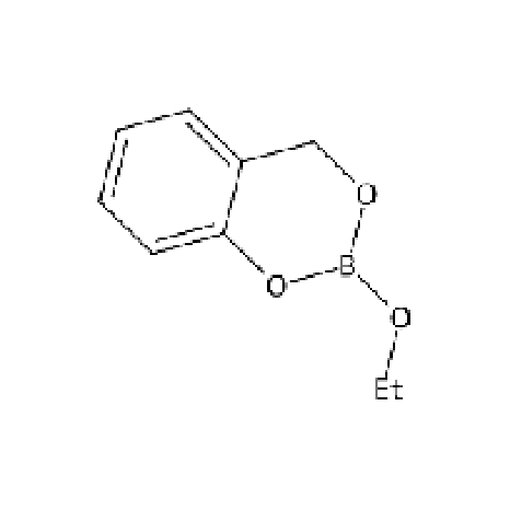 CCOB1OCc2ccccc2O1